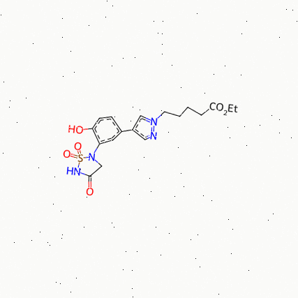 CCOC(=O)CCCCn1cc(-c2ccc(O)c(N3CC(=O)NS3(=O)=O)c2)cn1